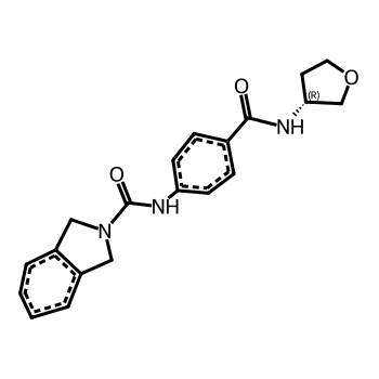 O=C(N[C@@H]1CCOC1)c1ccc(NC(=O)N2Cc3ccccc3C2)cc1